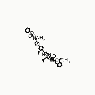 C/C=C(/C)c1ccccc1CCNC(=O)c1cc(C2CC2)n2nc(-c3ccc(N4CC[C@H](/C(N)=N/OC(=O)Oc5ccccc5)C4)cc3F)cc2n1